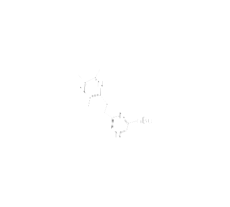 CCCCc1cncc(CCc2nc(C)c(C)nc2C)n1